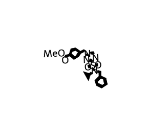 COC(=O)c1ccc(Cn2cnc(S(=O)(=O)N(Cc3ccccc3)C3CC3)n2)cc1